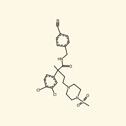 CC(CCN1CCN(S(C)(=O)=O)CC1)(C(=O)NCc1ccc(C#N)cc1)c1ccc(Cl)c(Cl)c1